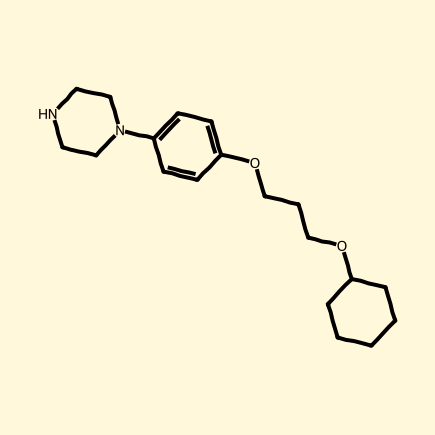 c1cc(N2CCNCC2)ccc1OCCCOC1CCCCC1